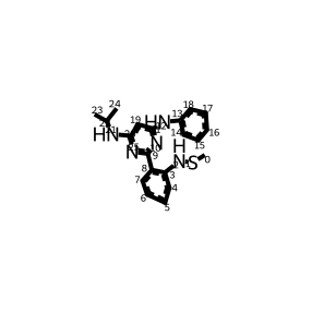 CSNc1ccccc1-c1nc(Nc2ccccc2)cc(NC(C)C)n1